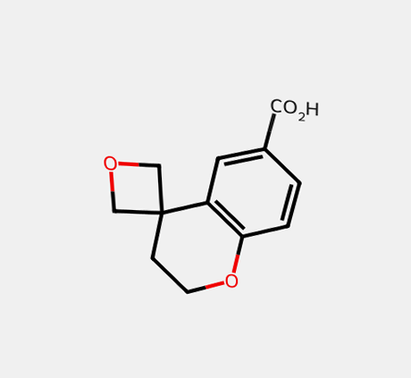 O=C(O)c1ccc2c(c1)C1(CCO2)COC1